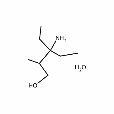 CCC(N)(CC)C(C)CO.O